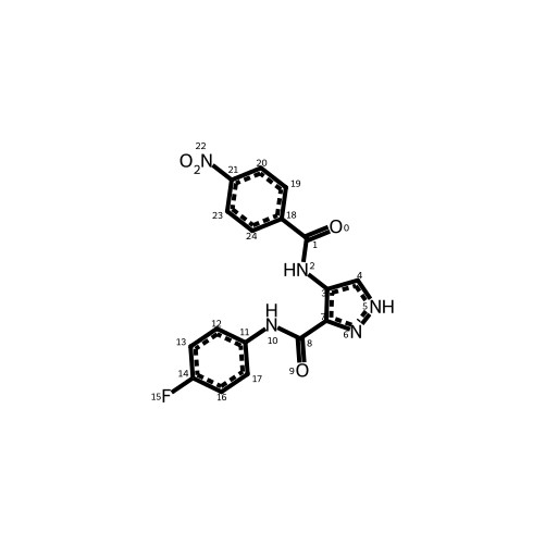 O=C(Nc1c[nH]nc1C(=O)Nc1ccc(F)cc1)c1ccc([N+](=O)[O-])cc1